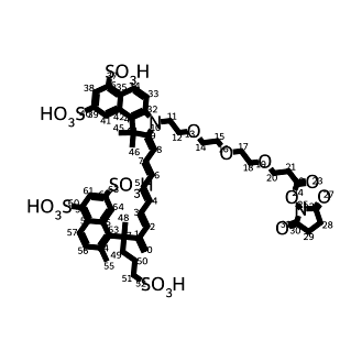 C=C(/C=C/C=C/C=C/C=C1/N(CCOCCOCCOCCC(=O)ON2C(=O)CCC2=O)c2ccc3c(S(=O)(=O)O)cc(S(=O)(=O)O)cc3c2C1(C)C)C(C)(CCCS(=O)(=O)O)c1c(C)ccc2c(S(=O)(=O)O)cc(S(=O)(=O)O)cc12